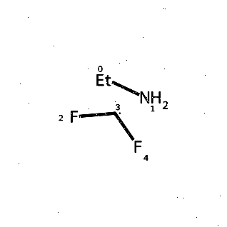 CCN.F[CH]F